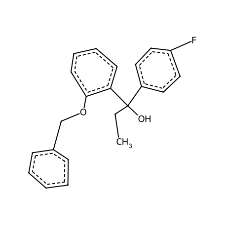 CCC(O)(c1ccc(F)cc1)c1ccccc1OCc1ccccc1